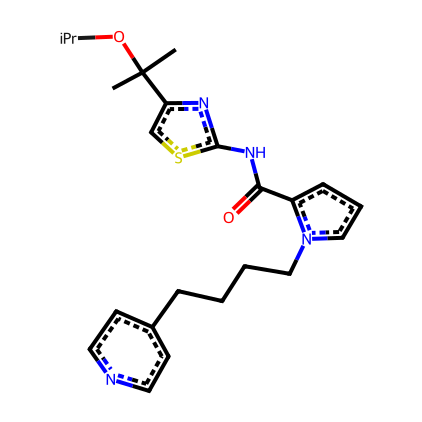 CC(C)OC(C)(C)c1csc(NC(=O)c2cccn2CCCCc2ccncc2)n1